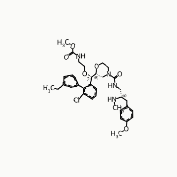 CCc1cccc(-c2c(Cl)cccc2[C@H](OCCNC(=O)OC)[C@H]2CN(C(=O)NC[C@H](Cc3ccc(OC)cc3)NC)CCO2)c1